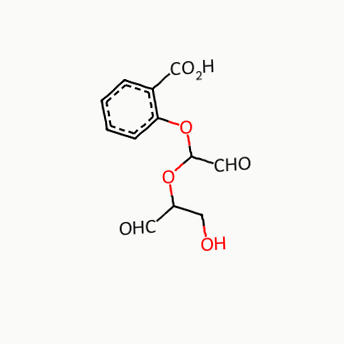 O=CC(CO)OC(C=O)Oc1ccccc1C(=O)O